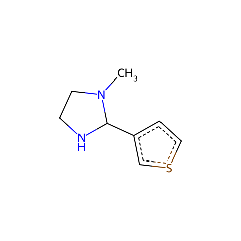 CN1CCNC1c1ccsc1